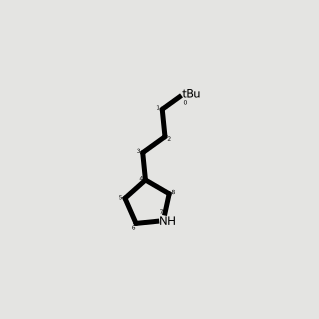 CC(C)(C)CCCC1CCNC1